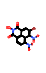 O=C1c2ccc([N+](=O)[O-])c3c([N+](=O)[O-])c(Br)cc(c23)C(=O)N1O